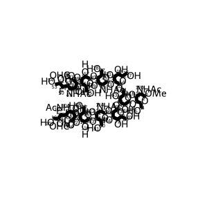 COC1OC(CO)C(OC2OC(COC3OC(CO)C(O)C(O)C3OC3OC(CO)C(OC4OC(CO)C(O)C(OC5(OC=O)CC(O)C(NC(C)=O)C([C@H](F)C(O)CO)O5)C4O)C(O)C3NC(C)=O)C(O)C(OC3OC(CO)C(O)C(O)C3OC3OC(CO)C(OC4OC(CO)C(O)C(OC5(OC=O)CC(O)C(NC(C)=O)C([C@H](F)C(O)CO)O5)C4O)C(O)C3NC(C)=O)C2O)C(O)C1NC(C)=O